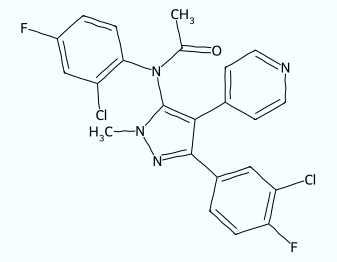 CC(=O)N(c1ccc(F)cc1Cl)c1c(-c2ccncc2)c(-c2ccc(F)c(Cl)c2)nn1C